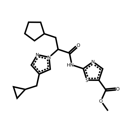 COC(=O)c1cnc(NC(=O)C(CC2CCCC2)n2cc(CC3CC3)cn2)s1